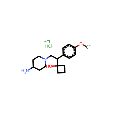 Cl.Cl.NC1CCN(CC(c2ccc(OC(F)(F)F)cc2)C2(O)CCC2)CC1